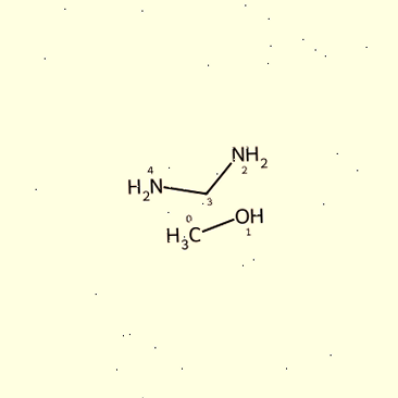 CO.NCN